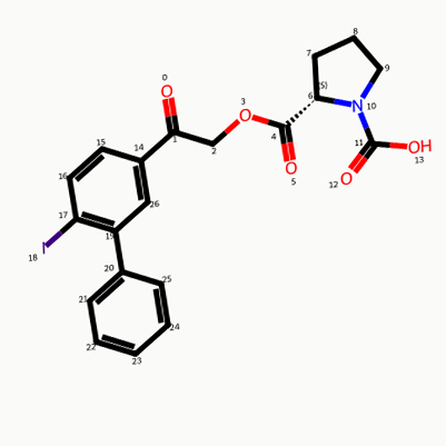 O=C(COC(=O)[C@@H]1CCCN1C(=O)O)c1ccc(I)c(-c2ccccc2)c1